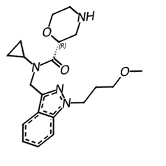 COCCCn1nc(CN(C(=O)[C@H]2CNCCO2)C2CC2)c2ccccc21